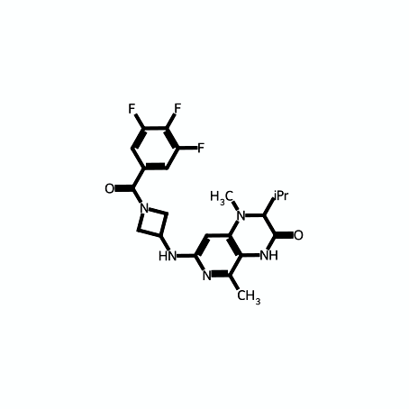 Cc1nc(NC2CN(C(=O)c3cc(F)c(F)c(F)c3)C2)cc2c1NC(=O)C(C(C)C)N2C